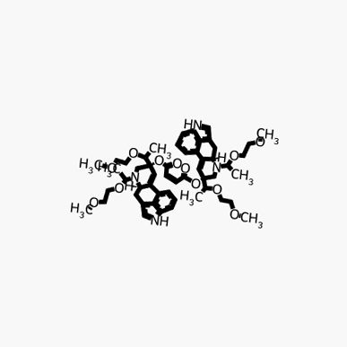 COCCOC(C)N1C[C@](OC(=O)/C=C\C(=O)O[C@@]2(C(C)OCCOC)C=C3c4cccc5[nH]cc(c45)C[C@H]3N(C(C)OCCOC)C2)(C(C)OCCOC)C=C2c3cccc4[nH]cc(c34)C[C@H]21